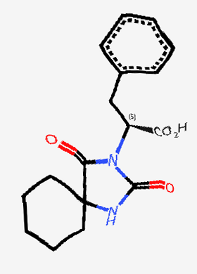 O=C(O)[C@H](Cc1ccccc1)N1C(=O)NC2(CCCCC2)C1=O